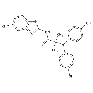 CC(C)(C(=O)Nc1nc2ccc(Cl)cc2s1)C(c1ccc(O)cc1)c1ccc(O)cc1